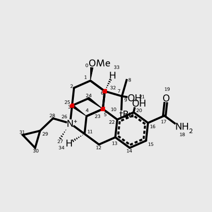 CO[C@]12CC[C@@]3(C[C@@H]1C(C)(O)C(C)(C)C)[C@H]1Cc4ccc(C(N)=O)c(O)c4[C@@]3(CC[N@+]1(C)CC1CC1)C2